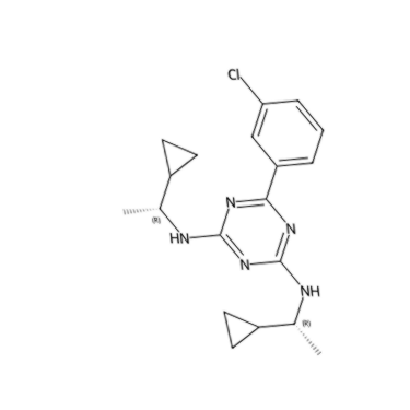 C[C@@H](Nc1nc(N[C@H](C)C2CC2)nc(-c2cccc(Cl)c2)n1)C1CC1